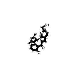 Cc1cc(-n2c(C(=O)c3ccccc3Cl)cc3cnc(CS)nc32)n(C)n1